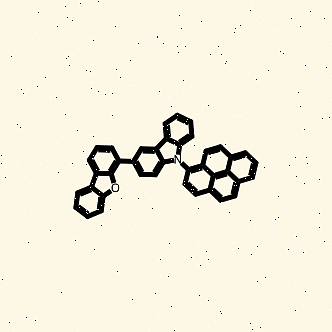 c1cc2ccc3ccc(-n4c5ccccc5c5cc(-c6cccc7c6oc6ccccc67)ccc54)c4ccc(c1)c2c34